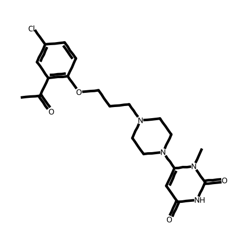 CC(=O)c1cc(Cl)ccc1OCCCN1CCN(c2cc(=O)[nH]c(=O)n2C)CC1